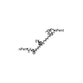 C=C=C=C=CC(CCCCC)CCOC(=O)CCCCCCCC(CCCCCCCC(=O)OCCC(C)CCCCC)CN(CC)CC